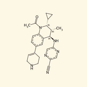 CC(=O)N1c2ccc(C3=CCNCC3)cc2[C@H](Nc2cnc(C#N)cn2)[C@@H](C)[C@H]1C1CC1